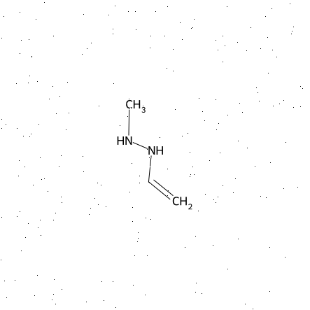 C=CNNC